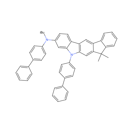 CCC(C)N(c1ccc(-c2ccccc2)cc1)c1ccc2c3cc4c(cc3n(-c3ccc(-c5ccccc5)cc3)c2c1)C(C)(C)c1ccccc1-4